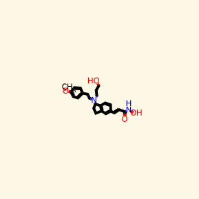 COc1ccc(CCN(CCCO)[C@@H]2CCc3cc(/C=C/C(=O)NO)ccc32)cc1